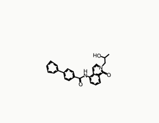 CC(O)Cn1ccc2c(NC(=O)c3ccc(-c4ccccc4)cc3)cccc2c1=O